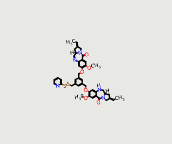 C/C=C1\C[C@H]2CNc3cc(OCc4cc(COc5cc6c(cc5OC)C(=O)N5C/C(=C/C)C[C@H]5C=N6)cc(CSSc5ccccn5)c4)c(OC)cc3C(=O)N2C1